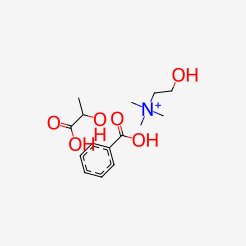 CC(O)C(=O)O.C[N+](C)(C)CCO.O=C(O)c1ccccc1